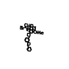 COc1cc(OCc2cccc(OCc3ccccc3)c2)c2cc(C(Br)C=O)oc2c1Cl